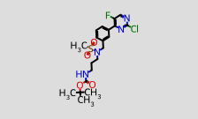 CC(C)(C)OC(=O)NCCCN(Cc1cccc(-c2nc(Cl)ncc2F)c1)S(C)(=O)=O